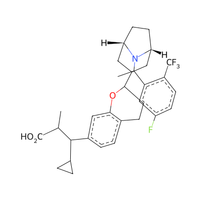 CC(C(=O)O)C(c1ccc2c(c1)OC(C1C[C@H]3CC[C@@H](C1)N3C(C)c1cc(F)ccc1C(F)(F)F)CC2)C1CC1